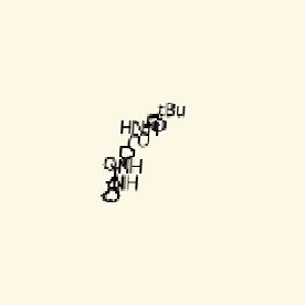 CC(C)(C)c1cc(NC(=O)Cc2ccc(NC(=O)c3cc4ccccc4[nH]3)cc2)no1